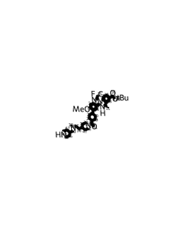 COc1cc2nc(C)nc(N[C@H](C)c3cc(C(=O)OC(C)(C)C)cc(C(F)(F)F)c3)c2cc1C1CCC(C(=O)N2CCC(CCN(C)CC3CCNCC3)CC2)CC1